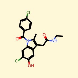 CCNC(=O)Cc1c(C)n(C(=O)c2ccc(Cl)cc2)c2cc(Cl)c(O)cc12